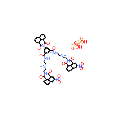 CS(=O)(=O)O.CS(=O)(=O)O.O=C(NCCNCCN1C(=O)c2cccc3cc([N+](=O)[O-])cc(c23)C1=O)c1cc(C(=O)NCCNCCN2C(=O)c3cccc4cc([N+](=O)[O-])cc(c34)C2=O)cc(N2C(=O)c3cccc4cccc(c34)C2=O)c1